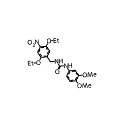 CCOc1cc([N+](=O)[O-])c(OCC)cc1CNC(=O)Nc1ccc(OC)c(OC)c1